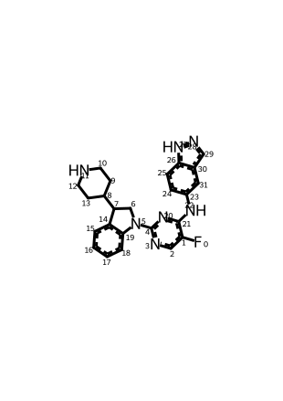 Fc1cnc(N2CC(C3CCNCC3)c3ccccc32)nc1Nc1ccc2[nH]ncc2c1